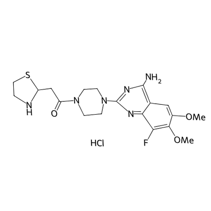 COc1cc2c(N)nc(N3CCN(C(=O)CC4NCCS4)CC3)nc2c(F)c1OC.Cl